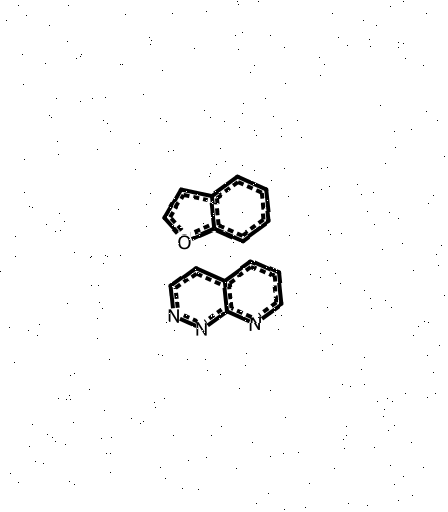 c1ccc2occc2c1.c1cnc2nnccc2c1